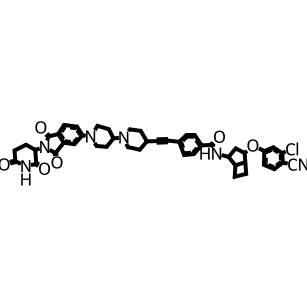 N#Cc1ccc(OC2CC(NC(=O)c3ccc(C#CC4CCN(C5CCN(c6ccc7c(c6)C(=O)N(C6CCC(=O)NC6=O)C7=O)CC5)CC4)cc3)C3CCC23)cc1Cl